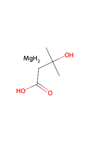 CC(C)(O)CC(=O)O.[MgH2]